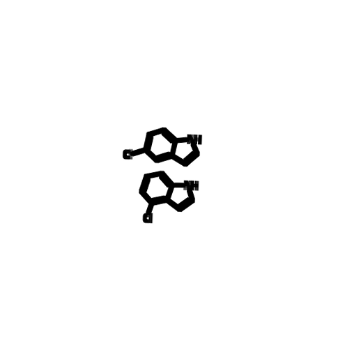 Clc1ccc2[nH]ccc2c1.Clc1cccc2[nH]ccc12